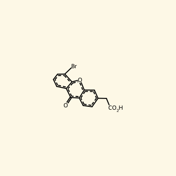 O=C(O)Cc1ccc2c(=O)c3cccc(Br)c3oc2c1